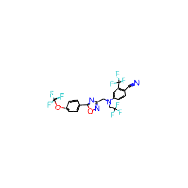 N#Cc1ccc(N(Cc2noc(-c3ccc(OC(F)(F)F)cc3)n2)CC(F)(F)F)cc1C(F)(F)F